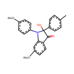 COc1ccc(N2c3cc(OC)ccc3C(=O)C2(O)c2ccc(C)cc2)cc1